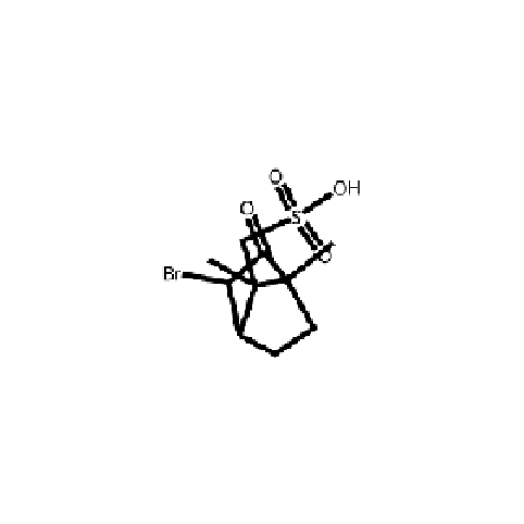 CC12CCC(C(Br)C1=O)C2(C)CS(=O)(=O)O